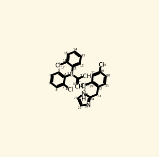 C=C(C)B(c1ccccc1Cl)c1ccccc1Cl.Clc1ccc(Cc2ncc[nH]2)c(Cl)c1